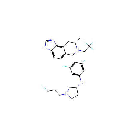 C[C@@H]1Cc2c(ccc3[nH]cnc23)[C@@H](c2c(F)cc(N[C@H]3CCN(CCCF)C3)cc2F)N1CC(F)(F)F